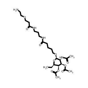 CC[C@H]1O[C@@H](OCCCCC(=O)NCCCNC(=O)CCOCCN)[C@H](NC(C)=O)[C@@H](OC(C)=O)[C@H]1OC(C)=O